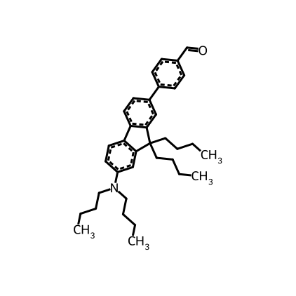 CCCCN(CCCC)c1ccc2c(c1)C(CCCC)(CCCC)c1cc(-c3ccc(C=O)cc3)ccc1-2